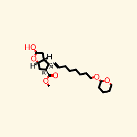 COC(=O)[C@H]1C[C@H]2OC(O)C[C@@H]2[C@@H]1C=CCCCCCCOC1CCCCO1